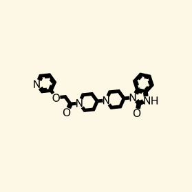 O=C(COc1cccnc1)N1CCC(N2CCC(n3c(=O)[nH]c4ccccc43)CC2)CC1